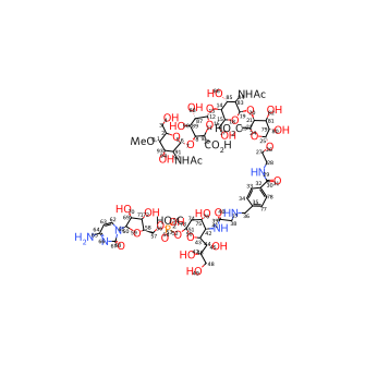 CO[C@@H]1C(CO)O[C@H](O[C@@H]2C(C(=O)O)O[C@@H](O[C@@H]3C(CO)O[C@H](O[C@@H]4C(C(=O)O)O[C@@H](OCCNC(=O)c5ccc(CNCC(=O)N[C@H]6C([C@H](O)[C@H](O)CO)O[C@](OP(=O)(O)OC[C@H]7O[C@@H](n8ccc(N)nc8=O)[C@@H](O)C7O)(C(=O)O)C[C@H]6O)cc5)[C@@H](O)C4O)C(NC(C)=O)[C@H]3O)[C@@H](O)C2O)C(NC(C)=O)[C@H]1O